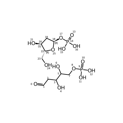 O=CCC(O)C(O)COP(=O)(O)O.O=P(O)(O)O[C@@H]1C[C@H](O)[C@@H](CO)O1